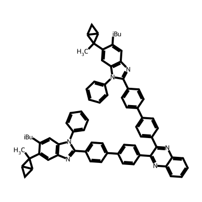 CCC(C)c1cc2c(cc1C1(C)C3CC31)nc(-c1ccc(-c3ccc(-c4nc5ccccc5nc4-c4ccc(-c5ccc(-c6nc7cc(C(C)CC)c(C8(C)C9CC98)cc7n6-c6ccccc6)cc5)cc4)cc3)cc1)n2-c1ccccc1